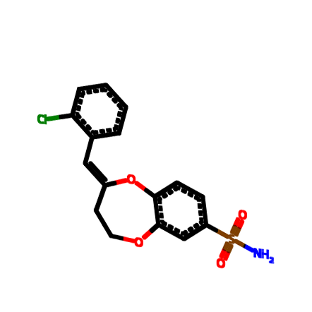 NS(=O)(=O)c1ccc2c(c1)OCCC(=Cc1ccccc1Cl)O2